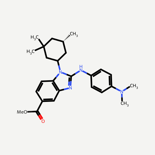 COC(=O)c1ccc2c(c1)nc(Nc1ccc(N(C)C)cc1)n2C1C[C@@H](C)CC(C)(C)C1